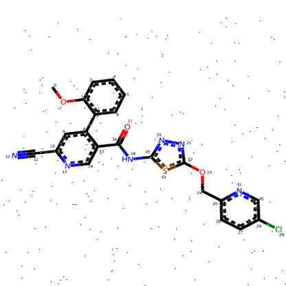 COc1ccccc1-c1cc(C#N)ncc1C(=O)Nc1nnc(OCc2ccc(Cl)cn2)s1